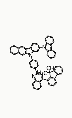 CC1(C)c2ccccc2-c2cccc(-c3nc(-c4ccc(-n5c6cc(-n7c8ccccc8c8ccccc87)ccc6c6cc7ccccc7cc65)cc4)nc4ccccc34)c21